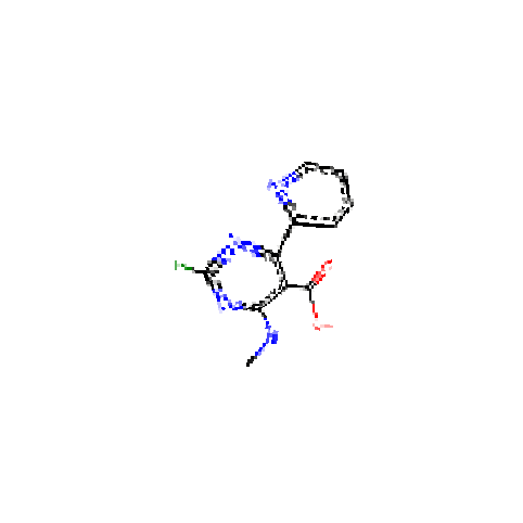 CNc1nc(F)nc(-c2ccccn2)c1C(=O)O